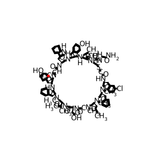 CCCC[C@H]1C(=O)N(C)CC(=O)N[C@@H](CC(=O)O)C(=O)N[C@@H](C(C)C)C(=O)N(C)[C@@H](Cc2ccccc2)C(=O)N[C@@H](Cc2ccc(O)cc2)C(=O)N(C)CC(=O)N[C@@H](Cc2c[nH]c3ccccc23)C(=O)N[C@@H](Cc2ccc(O)cc2)C(=O)N[C@@H](CC(C)C)C(=O)N[C@H](C(=O)NCC(N)=O)CSCC(=O)N[C@@H](Cc2cccc(Cl)c2)C(=O)N(C)[C@@H](Cc2ccccc2)C(=O)N1C